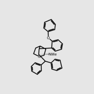 CN[C@@]1(C(c2ccccc2)c2ccccc2)C(c2ccccc2Oc2ccccc2)C2CCN1CC2